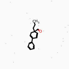 CCCC1(C=O)C=CC(c2ccccc2)=CC1